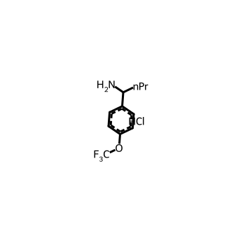 CCCC(N)c1ccc(OC(F)(F)F)cc1.Cl